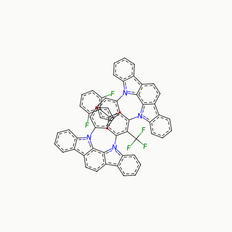 Fc1cccc(F)c1-c1cc(-n2c3ccccc3c3ccc4c5ccccc5n(-c5ccccc5)c4c32)c(C(F)(F)F)c(-n2c3ccccc3c3ccc4c5ccccc5n(-c5ccccc5)c4c32)c1